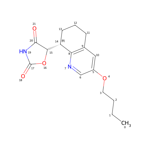 CCCCOc1cnc2c(c1)CCC[C@H]2C1OC(=O)NC1=O